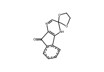 O=C1C2=C(NC3(C=N2)OCCO3)c2ccccc21